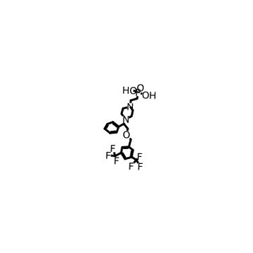 O=P(O)(O)CCN1CCN(C(COCc2cc(C(F)(F)F)cc(C(F)(F)F)c2)c2ccccc2)CC1